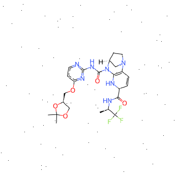 C[C@@H](NC(=O)C1C=CC2=C(N1)N(C(=O)Nc1nccc(OC[C@H]3COC(C)(C)O3)n1)[C@H]1CCN2C1)C(F)(F)F